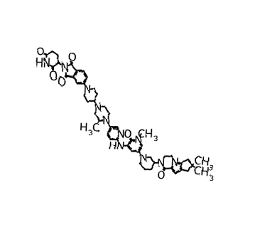 C[C@H]1CN(C2CCN(c3ccc4c(c3)C(=O)N(C3CCC(=O)NC3=O)C4=O)CC2)CCN1c1ccc(Nc2cc(N3CCCC(N4CCn5c(cc6c5CC(C)(C)C6)C4=O)C3)cn(C)c2=O)nc1